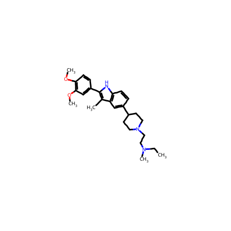 CCN(C)CCN1CCC(c2ccc3[nH]c(-c4ccc(OC)c(OC)c4)c(C)c3c2)CC1